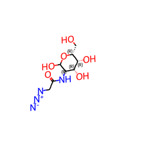 [N-]=[N+]=NCC(=O)N[C@H]1C(O)O[C@H](CO)[C@H](O)[C@@H]1O